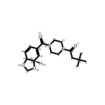 CC(C)(C)CC(=O)N1CCN(C(=O)C2=C[C@@H]3OCOC3C=C2)CC1